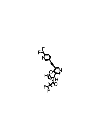 CC(C)(C(=O)N1C[C@@H]2C[C@H]1c1cncc(C#Cc3ccc(C(F)F)nc3)c1O2)C(F)F